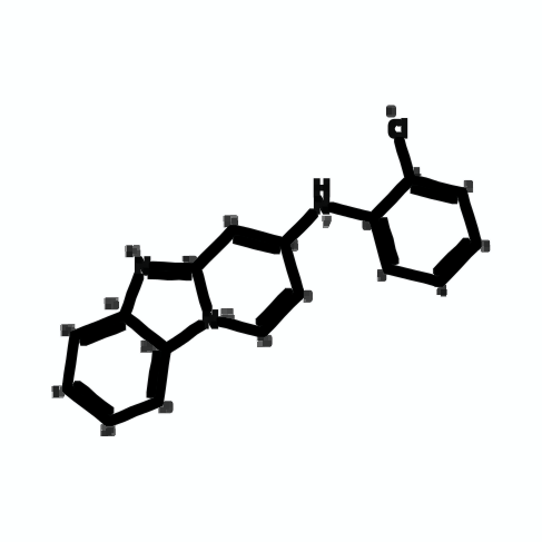 Clc1ccccc1Nc1ccn2c(c1)nc1ccccc12